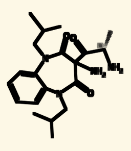 CC(C)CN1C(=O)C(N)(C(=O)[C@H](C)N)C(=O)N(CC(C)C)c2ccccc21